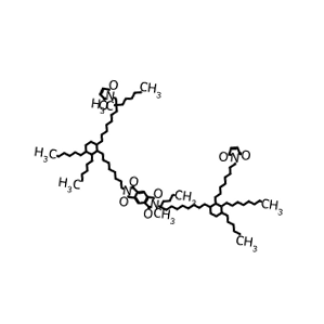 CCCCCCCCC1C(CCCCCC)CCC(CCCCCCCCC(C)(CCCC)n2c(=O)c3cc4c(=O)n(CCCCCCCCC5C(CCCCCCCC(C)(CCCCCC)CN6C(=O)C=CC6=O)CCC(CCCCCC)C5CCCCCC)c(=O)c4cc3c2=O)C1CCCCCCCCN1C(=O)C=CC1=O